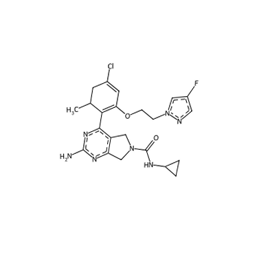 CC1CC(Cl)=CC(OCCn2cc(F)cn2)=C1c1nc(N)nc2c1CN(C(=O)NC1CC1)C2